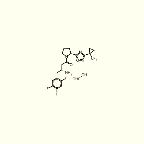 N[C@@H](CC(=O)N1CCC[C@H]1c1nc(C2(C(F)(F)F)CC2)no1)Cc1cc(F)c(F)cc1F.O=CO